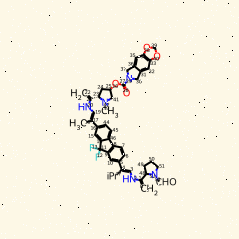 C=C(N/C=C(/c1ccc2c(c1)C(F)(F)c1cc(/C(C)=C/NC(=C)[C@@H]3CC(OC(=O)N4Cc5cc6c(cc5C4)OCO6)CN3C)ccc1-2)C(C)C)C1CCCN1C=O